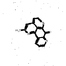 Cc1cc2ccnc3c2c(n1)-c1cccnc1C3=O